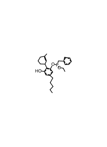 CCCCCc1cc(O)c(C2C=C(C)CCC2)c(OP(Cc2ccccc2)OCC)c1